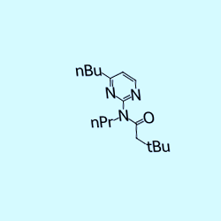 CCCCc1ccnc(N(CCC)C(=O)CC(C)(C)C)n1